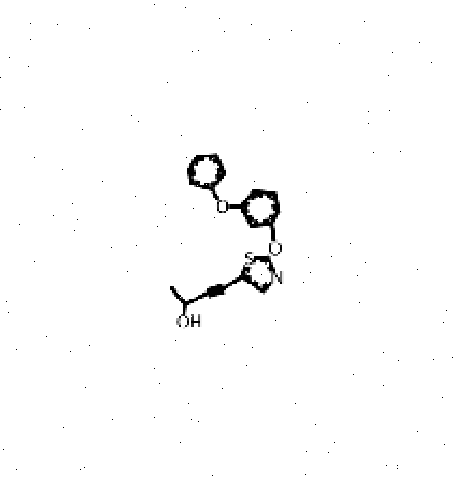 CC(O)C#Cc1cnc(Oc2cccc(Oc3ccccc3)c2)s1